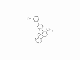 Cc1ccc2c(oc3ncccc32)c1-c1ccc(-c2cccc(C(C)C)c2)cn1